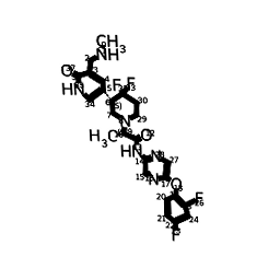 CNCc1cc([C@H]2CN([C@@H](C)C(=O)Nc3cnc(Oc4ccc(F)cc4F)cn3)CCC2(F)F)c[nH]c1=O